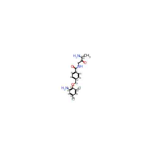 C[C@H](N)C(=O)CNC(=O)c1ccc(COc2c(N)cc(Cl)cc2Cl)cc1